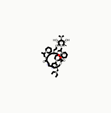 CCN(CC)C[C@H]1/C=C(CC(C)N2CCCCC2)/C=C/C(=O)[C@@H](CC(C)N2CCCCC2)CC[C@@H](CCO[C@@H]2O[C@H](C)[C@@H](O)[C@H](N(C)C)[C@H]2O)[C@H](CC(C)N2CCCCC2)[C@H](O)CC(=O)OC1